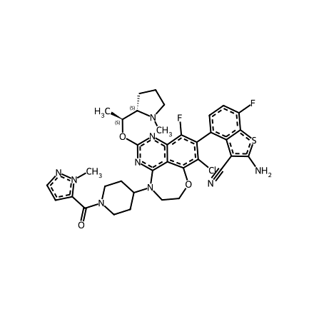 C[C@H](Oc1nc2c3c(c(Cl)c(-c4ccc(F)c5sc(N)c(C#N)c45)c(F)c3n1)OCCN2C1CCN(C(=O)c2ccnn2C)CC1)[C@@H]1CCCN1C